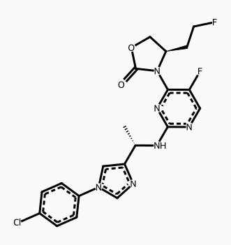 C[C@H](Nc1ncc(F)c(N2C(=O)OC[C@H]2CCF)n1)c1cn(-c2ccc(Cl)cc2)cn1